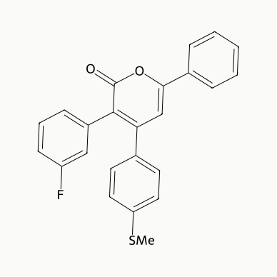 CSc1ccc(-c2cc(-c3ccccc3)oc(=O)c2-c2cccc(F)c2)cc1